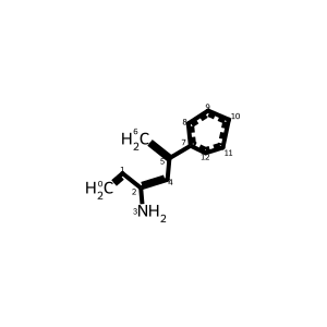 C=C/C(N)=C\C(=C)c1ccccc1